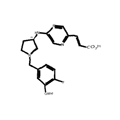 COc1cc(CN2CC[C@@H](Nc3cnc(C=CC(=O)O)cn3)C2)ccc1F